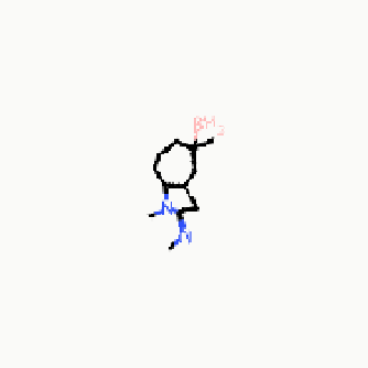 BC1(C)CCCC2C(C/C(=N/C)N2C)C1